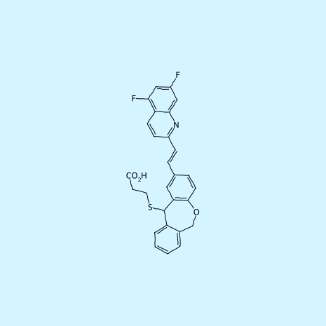 O=C(O)CCSC1c2ccccc2COc2ccc(C=Cc3ccc4c(F)cc(F)cc4n3)cc21